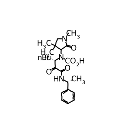 CCCC[C@@H](C(=O)C(=O)N[C@H](C)c1ccccc1)N(C(=O)O)C1C(=O)N(C)CC1(C)C